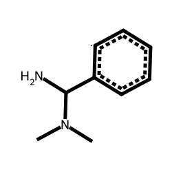 CN(C)C(N)c1[c]cccc1